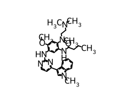 CCCC(=O)Nc1cc(Nc2nccc(-c3cn(C)c4ccccc34)n2)c(OC)cc1N(C)CCN(C)C